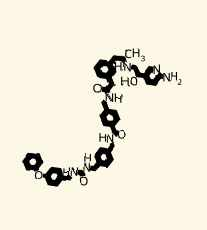 C[C@H](Cc1cccc(CC(=O)NCc2ccc(C(=O)NCc3ccc(CNC(=O)NCc4ccc(Oc5ccccc5)cc4)cc3)cc2)c1)NC[C@@H](O)c1ccc(N)nc1